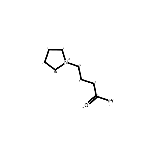 CC(C)C(=O)CCCN1CCCC1